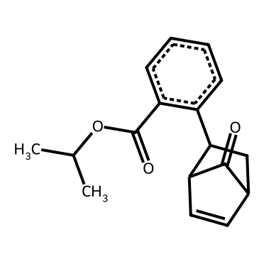 CC(C)OC(=O)c1ccccc1C1CC2C=CC1C2=O